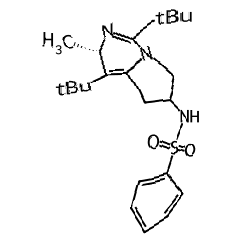 C[C@@H]1N=C(C(C)(C)C)N2CC(NS(=O)(=O)c3ccccc3)CC2=C1C(C)(C)C